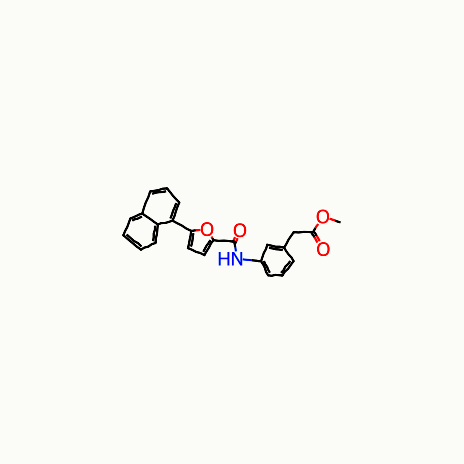 COC(=O)Cc1cccc(NC(=O)c2ccc(-c3cccc4ccccc34)o2)c1